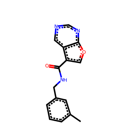 Cc1cccc(CNC(=O)c2coc3ncncc23)c1